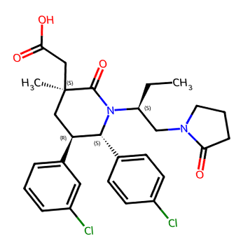 CC[C@@H](CN1CCCC1=O)N1C(=O)[C@](C)(CC(=O)O)C[C@H](c2cccc(Cl)c2)[C@H]1c1ccc(Cl)cc1